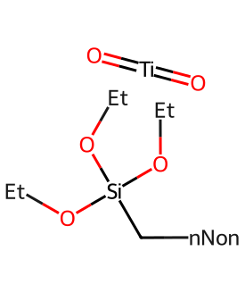 CCCCCCCCCC[Si](OCC)(OCC)OCC.[O]=[Ti]=[O]